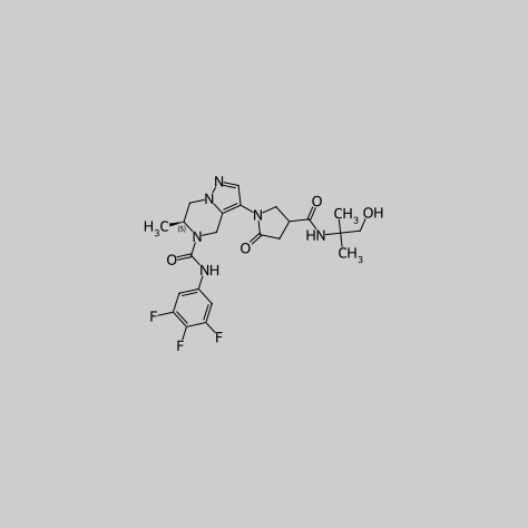 C[C@H]1Cn2ncc(N3CC(C(=O)NC(C)(C)CO)CC3=O)c2CN1C(=O)Nc1cc(F)c(F)c(F)c1